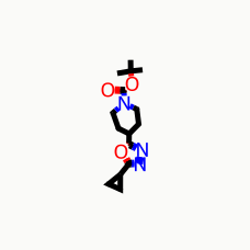 CC(C)(C)OC(=O)N1CCC(c2nnc(C3CC3)o2)CC1